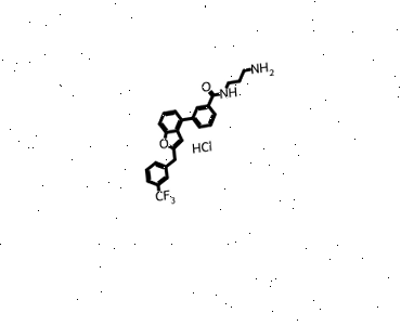 Cl.NCCCNC(=O)c1cccc(-c2cccc3oc(Cc4cccc(C(F)(F)F)c4)cc23)c1